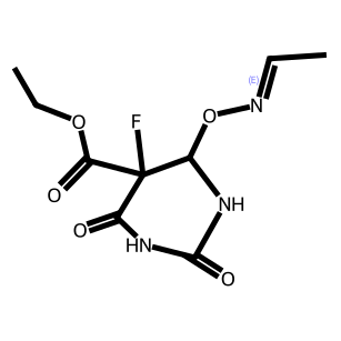 C/C=N/OC1NC(=O)NC(=O)C1(F)C(=O)OCC